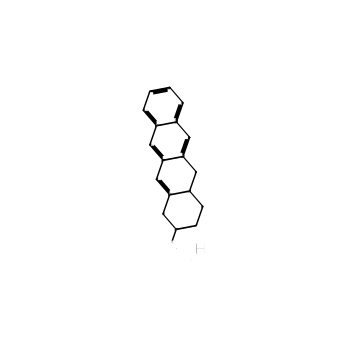 O=C(O)C1CCC2Cc3cc4ccccc4cc3C=C2C1